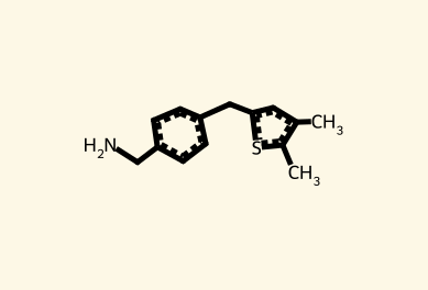 Cc1cc(Cc2ccc(CN)cc2)sc1C